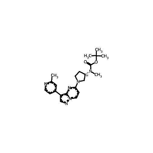 Cc1cc(-c2cnn3ccc(N4CC[C@H](N(C)C(=O)OC(C)(C)C)C4)nc23)ccn1